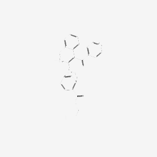 CCOC(=O)c1ccc2cc1ON2C1=C(C(=O)c2ccncc2)c2ccccc2CN1